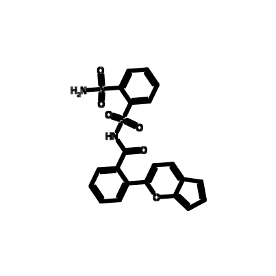 NS(=O)(=O)c1ccccc1S(=O)(=O)NC(=O)c1ccccc1-c1ccc2cccc-2o1